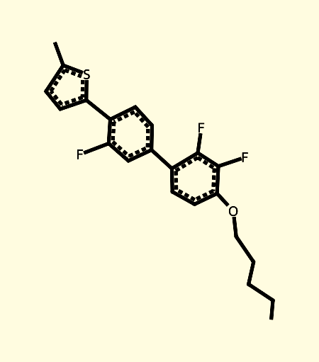 CCCCCOc1ccc(-c2ccc(-c3ccc(C)s3)c(F)c2)c(F)c1F